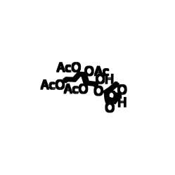 CC(=O)OCC[C@@H](OC(C)=O)/C(OC(C)=O)=C(\OC(C)=O)[C@@H](O)O[C@@H]1C2CO[C@H](O2)C2OC21